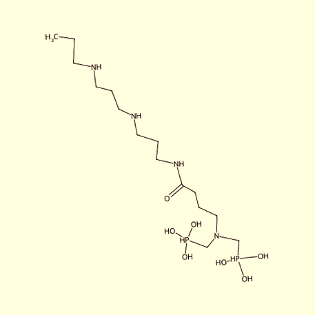 CCCNCCCNCCCNC(=O)CCCN(C[PH](O)(O)O)C[PH](O)(O)O